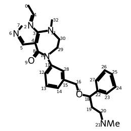 C/C=N/C1=C(/C=N\C)C(=O)N(c2cccc(COC(CCNC)c3ccccc3)c2)CCN1C